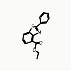 CCOC(=O)c1cccc2sc(-c3ccccc3)nc12